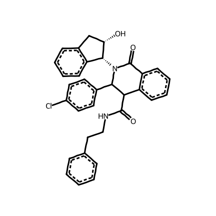 O=C(NCCc1ccccc1)C1c2ccccc2C(=O)N([C@@H]2c3ccccc3C[C@@H]2O)C1c1ccc(Cl)cc1